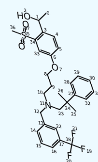 CC(O)c1ccc(OCCCN(Cc2cccc(C(F)(F)F)c2)CC(C)(C)c2ccccc2)cc1S(C)(=O)=O